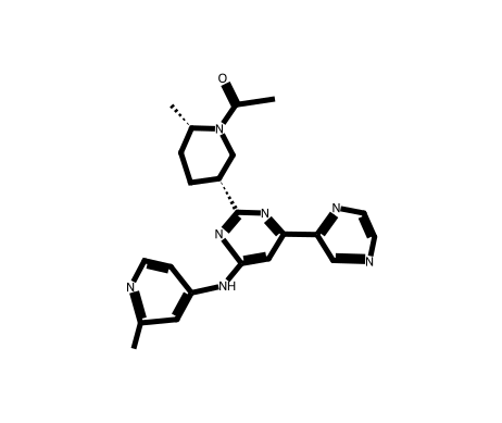 CC(=O)N1C[C@H](c2nc(Nc3ccnc(C)c3)cc(-c3cnccn3)n2)CC[C@@H]1C